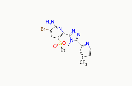 CCS(=O)(=O)c1cc(Br)c(N)nc1-c1nnc(-c2cc(C(F)(F)F)ccn2)n1C